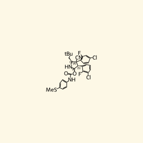 CSc1ccc(NC(=O)O[C@H]2N[C@@H](CC(C)(C)C)[C@](C#N)(c3ccc(Cl)cc3F)[C@H]2c2cccc(Cl)c2F)cc1